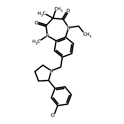 CCN1C(=O)C(C)(C)C(=O)N(C)c2cc(CN3CCCC3c3cccc(Cl)c3)ccc21